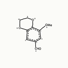 COc1cc(C=O)cc2c1OCCO2